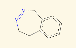 c1ccc2c(c1)CCN=NC2